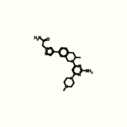 CC1Cc2ccc(-c3cnn(CC(N)=O)c3)cc2CN1c1cc(N2CCN(C)CC2)nc(N)n1